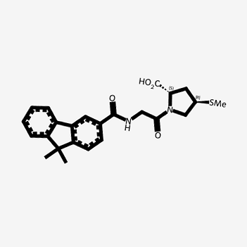 CS[C@@H]1C[C@@H](C(=O)O)N(C(=O)CNC(=O)c2ccc3c(c2)-c2ccccc2C3(C)C)C1